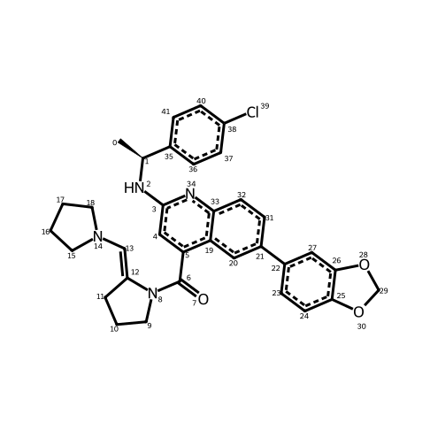 C[C@H](Nc1cc(C(=O)N2CCC/C2=C\N2CCCC2)c2cc(-c3ccc4c(c3)OCO4)ccc2n1)c1ccc(Cl)cc1